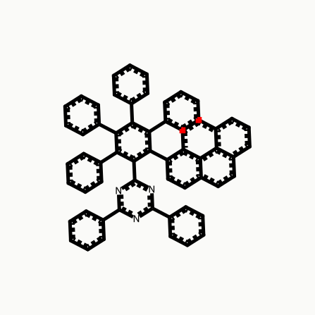 c1ccc(-c2nc(-c3ccccc3)nc(-c3c(-c4ccccc4)c(-c4ccccc4)c(-c4ccccc4)c(-c4ccccc4)c3-c3ccc4ccc5cccc6ccc3c4c56)n2)cc1